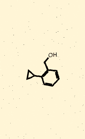 OCc1ccc[c]c1C1CC1